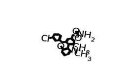 CN(C)c1cccc2c1-c1ccc(CS(N)(=O)=O)cc1C(c1cccc(Cl)c1)O2